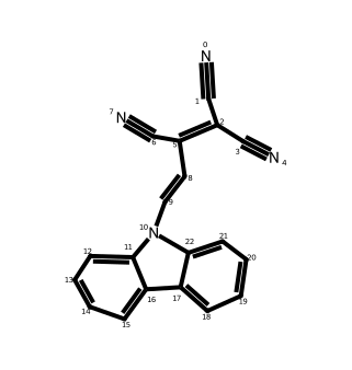 N#CC(C#N)=C(C#N)/C=C/n1c2ccccc2c2ccccc21